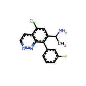 CC(N)c1cc(Cl)c2ccnnc2c1-c1cccc(F)c1